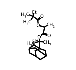 CCC(C)(C)C(=O)OC(C)C(=O)OC(C)(C)C12CC3CC(CC(C3)C1C)C2